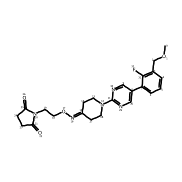 COCc1cccc(-c2cnc(N3CCC(=NOCCN4C(=O)CCC4=O)CC3)nc2)c1F